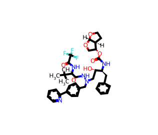 CC(C)(C)C(NC(=O)C(F)(F)F)C(=O)NN(Cc1ccc(-c2ccccn2)cc1)C[C@H](O)[C@H](Cc1ccccc1)NC(=O)O[C@H]1CO[C@H]2OCC[C@H]21